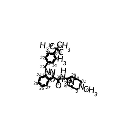 CN1CC2CC(NC(=O)c3nn(Cc4ccc(C(C)(C)C)cc4)c4ccccc34)CC(C1)N2C